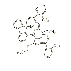 CCCC1=Cc2c(-c3ccccc3C)cccc2[CH]1[Zr]([c]1cccc2c1[SiH2]c1ccccc1-2)[CH]1C(CCC)=Cc2c(-c3ccccc3C)cccc21